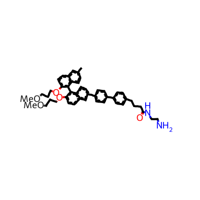 COCCCOc1ccc2cc(C)ccc2c1-c1c(OCCCOC)ccc2cc(-c3ccc(-c4ccc(CCCC(=O)NCCN)cc4)cc3)ccc12